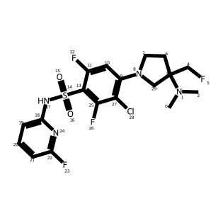 CN(C)C1(CF)CCN(c2cc(F)c(S(=O)(=O)Nc3cccc(F)n3)c(F)c2Cl)C1